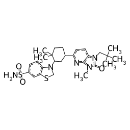 Cn1c(=O)n(CC(C)(C)C)c2ccc(C3CCC(C)(C)C(N4CSc5cc(S(N)(=O)=O)ccc54)C3)nc21